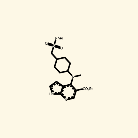 CCOC(=O)c1cnc2[nH]ccc2c1N(C)C1CCC(CS(=O)(=O)NC)CC1